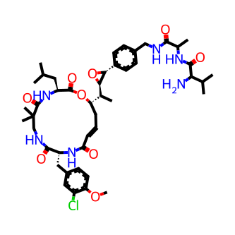 COc1ccc(C[C@H]2NC(=O)/C=C/C[C@@H](C(C)[C@H]3O[C@@H]3c3ccc(CNC(=O)C(C)NC(=O)C(N)C(C)C)cc3)OC(=O)[C@H](CC(C)C)NC(=O)C(C)(C)CNC2=O)cc1Cl